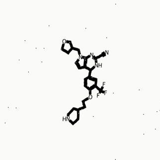 N#CC1=Nc2c(ccn2CC2CCOC2)C(c2ccc(OCCC3CCNCC3)c(C(F)(F)F)c2)N1